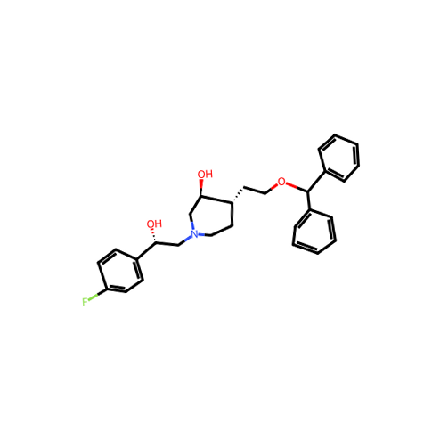 O[C@H](CN1CC[C@@H](CCOC(c2ccccc2)c2ccccc2)[C@H](O)C1)c1ccc(F)cc1